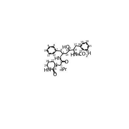 CC(C)[C@@H](C(=O)NC(Cc1ccccc1)CC(O)C(Cc1ccccc1)NC(=O)O)N1CCCNC1=O